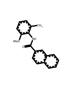 COc1cccc(C)c1NC(=O)c1ccc2ccccc2c1